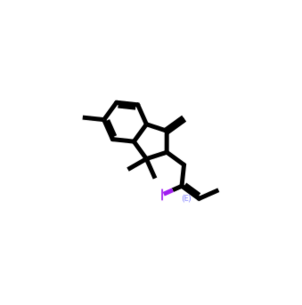 C=C1C2C=CC(C)=CC2C(C)(C)C1C/C(I)=C\C